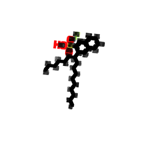 CCCCCCCCCC(CCCCCC)c1cc2ccccc2c(F)c1S(=O)(=O)O